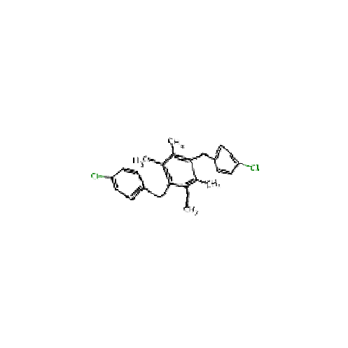 Cc1c(C)c(Cc2ccc(Cl)cc2)c(C)c(C)c1Cc1ccc(Cl)cc1